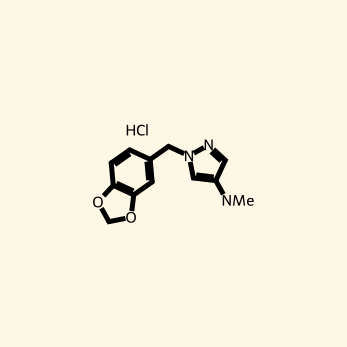 CNc1cnn(Cc2ccc3c(c2)OCO3)c1.Cl